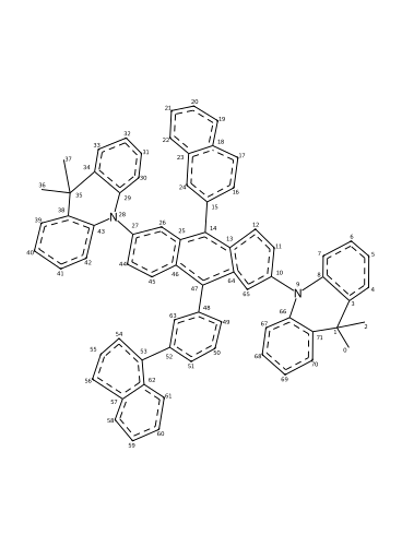 CC1(C)c2ccccc2N(c2ccc3c(-c4ccc5ccccc5c4)c4cc(N5c6ccccc6C(C)(C)c6ccccc65)ccc4c(-c4cccc(-c5cccc6ccccc56)c4)c3c2)c2ccccc21